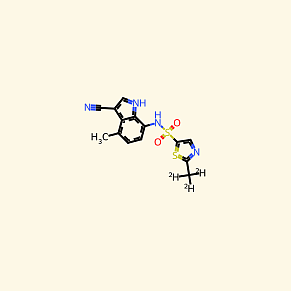 [2H]C([2H])([2H])c1ncc(S(=O)(=O)Nc2ccc(C)c3c(C#N)c[nH]c23)s1